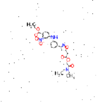 CCOC(=O)c1ccc(Nc2cccc(C3=NOC(CC(=O)OCC(=O)N(CC)CC)C3)c2)cc1[N+](=O)[O-]